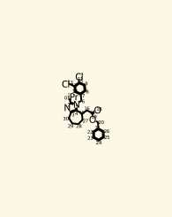 CC(C)c1nc2c(n1Cc1ccc(Cl)c(Cl)c1)C(CC(=O)OCc1ccccc1)CCCC2